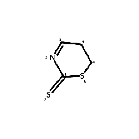 S=C1N=CCCS1